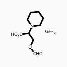 O=COCC(C(=O)O)N1CCCCC1.[GeH4]